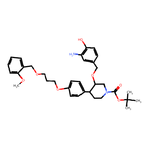 COc1ccccc1COCCCOc1ccc(C2CCN(C(=O)OC(C)(C)C)CC2OCc2ccc(O)c(N)c2)cc1